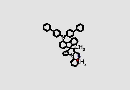 C=C/C=C\C1=C(C)C2(c3ccccc3-c3c(N(c4ccc(-c5ccccc5)cc4)c4ccc(-c5ccccc5)cc4)cccc32)c2ccccc2N1c1ccccc1